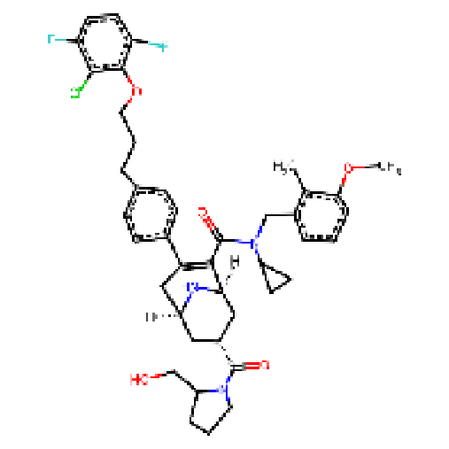 COc1cccc(CN(C(=O)C2=C(c3ccc(CCCOc4c(F)ccc(F)c4Cl)cc3)C[C@@H]3C[C@@H](C(=O)N4CCCC4CO)C[C@H]2N3)C2CC2)c1C